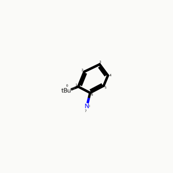 CC(C)(C)c1ccccc1[N]